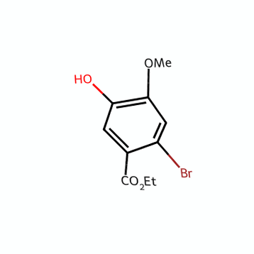 CCOC(=O)c1cc(O)c(OC)cc1Br